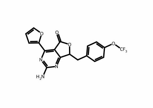 Nc1nc(-c2ccco2)c2c(n1)C(Cc1ccc(OC(F)(F)F)cc1)OC2=O